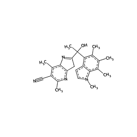 Cc1nc2c(c(C)c1C#N)N=C(C(C)(O)c1c(C)c(C)c(C)c3c1ccn3C)C2